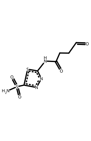 NS(=O)(=O)c1nnc(NC(=O)CCC=O)s1